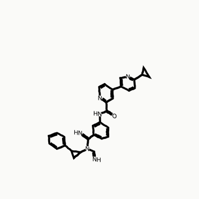 N=CN(C(=N)c1cccc(NC(=O)c2cc(-c3ccc(C4CC4)nc3)ccn2)c1)C1CC1c1ccccc1